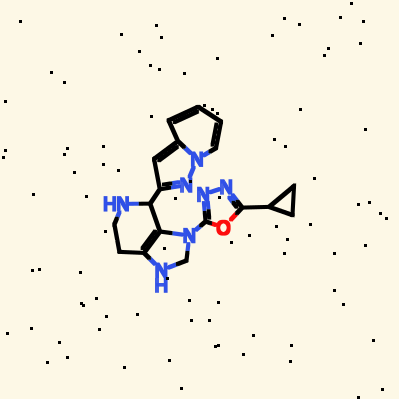 c1ccn2nc(C3NCCC4=C3N(c3nnc(C5CC5)o3)CN4)cc2c1